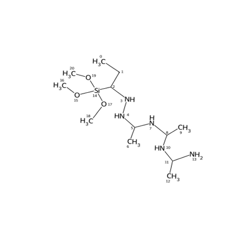 CCC(NNC(C)NC(C)NC(C)N)[Si](OC)(OC)OC